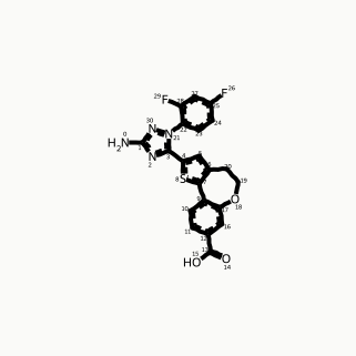 Nc1nc(-c2cc3c(s2)-c2ccc(C(=O)O)cc2OCC3)n(-c2ccc(F)cc2F)n1